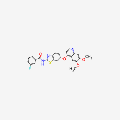 COc1cc2nccc(Oc3ccc4nc(NC(=O)c5cccc(F)c5)sc4c3)c2cc1OC